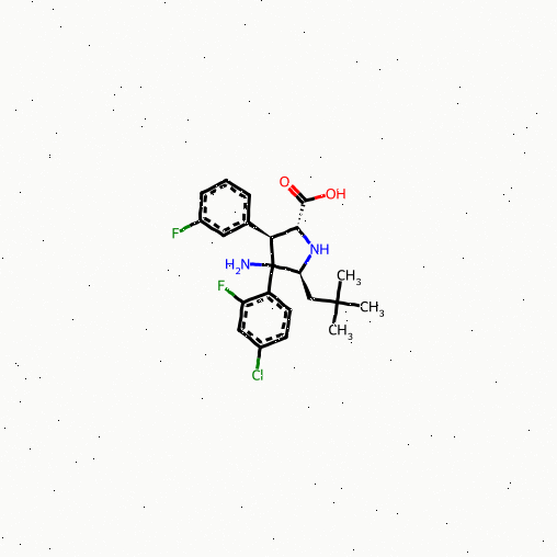 CC(C)(C)C[C@@H]1N[C@@H](C(=O)O)[C@H](c2cccc(F)c2)C1(N)c1ccc(Cl)cc1F